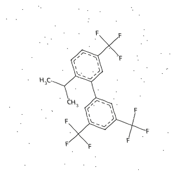 CC(C)c1ccc(C(F)(F)F)cc1-c1cc(C(F)(F)F)cc(C(F)(F)F)c1